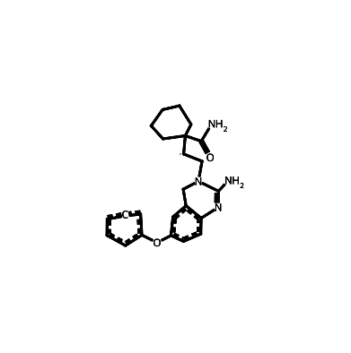 NC(=O)C1([CH]CN2Cc3cc(Oc4ccccc4)ccc3N=C2N)CCCCC1